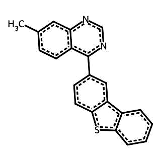 Cc1ccc2c(-c3ccc4sc5ccccc5c4c3)ncnc2c1